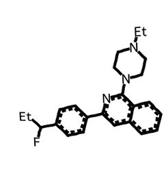 CCC(F)c1ccc(-c2cc3ccccc3c(N3CCN(CC)CC3)n2)cc1